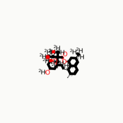 [2H]O[C@H]1CC(=O)OC(CC[C@@H]2[C@@H]3C(=C[C@H](C([2H])([2H])[2H])C[C@@H]3OC(=O)C(C([2H])([2H])[2H])(C([2H])([2H])[2H])C([2H])([2H])C([2H])([2H])[2H])C=C[C@@H]2C)C1